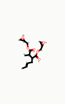 CC=CCC(C(=O)OCC1CO1)C(C)C(=O)OCC1CO1